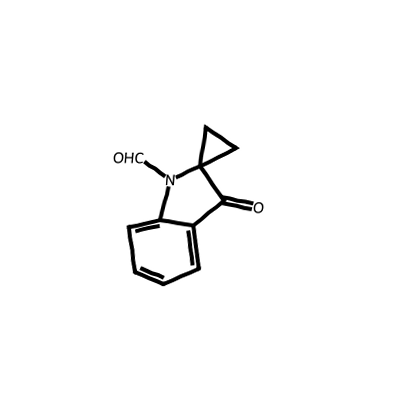 O=CN1c2ccccc2C(=O)C12CC2